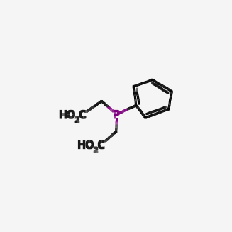 O=C(O)CP(CC(=O)O)c1ccccc1